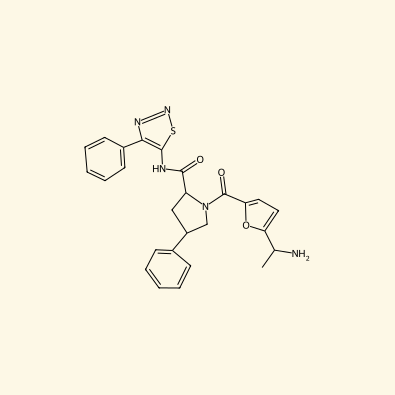 CC(N)c1ccc(C(=O)N2CC(c3ccccc3)CC2C(=O)Nc2snnc2-c2ccccc2)o1